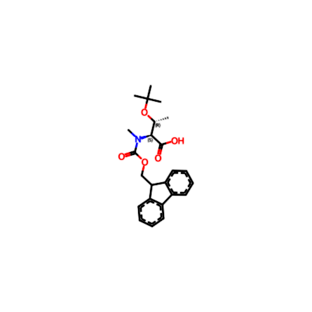 C[C@@H](OC(C)(C)C)[C@@H](C(=O)O)N(C)C(=O)OCC1c2ccccc2-c2ccccc21